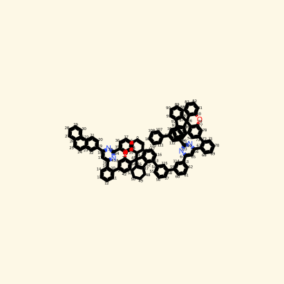 C1=CCC2C(=C1)Oc1cc(-c3ccccc3-c3cc(-c4ccc5c(ccc6ccccc65)c4)nc(-c4ccccc4)n3)ccc1C21C2=C(CCCC2)c2c(-c3cccc(-c4cccc(-c5cc(-c6ccccc6-c6ccc7c(c6)Oc6ccccc6C76c7ccccc7-c7ccccc76)nc(-c6cccc(-c7ccccc7)c6)n5)c4)c3)cccc21